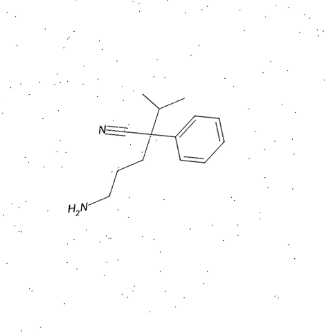 CC(C)C(C#N)(CCCN)c1ccccc1